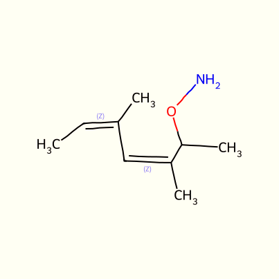 C/C=C(C)\C=C(\C)C(C)ON